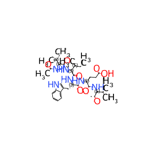 CC[C@H](C)[C@H](NC(C)=O)C(=O)N[C@H](C(=O)N[C@@H](Cc1c[nH]c2ccccc12)C(=O)N[C@@H](CCC(=O)O)C(=O)N[C@H]([C]=O)C(C)C)[C@@H](C)CC